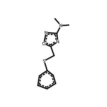 CN(C)c1noc(CSc2ccccc2)n1